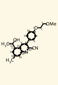 COCCOc1ccc(-c2cc3c(C(C)O)cc(C)cc3nc2C#N)cc1